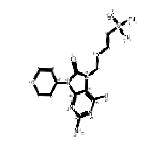 C[Si](C)(C)CCOCn1c(=O)n(C2CCOCC2)c2nc(N)nc(Cl)c21